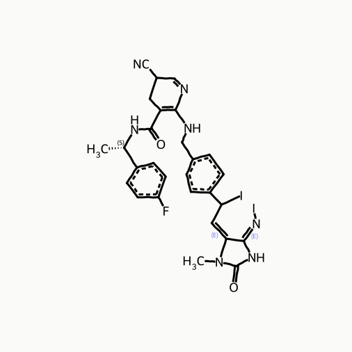 C[C@H](NC(=O)C1=C(NCc2ccc(C(I)/C=C3\C(=N/I)NC(=O)N3C)cc2)N=CC(C#N)C1)c1ccc(F)cc1